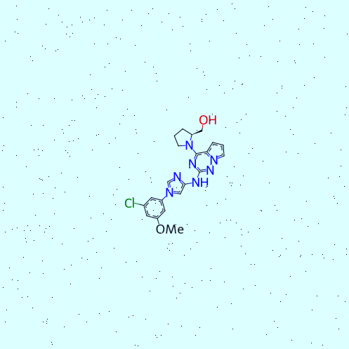 COc1cc(Cl)cc(-n2cnc(Nc3nc(N4CCC[C@H]4CO)c4cccn4n3)c2)c1